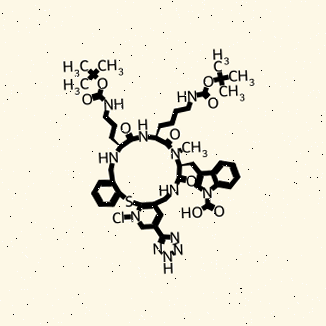 CN1C(=O)[C@H](CCCCNC(=O)OC(C)(C)C)NC(=O)[C@H](CCCNC(=O)OC(C)(C)C)NCc2ccccc2SC2=C(C=C(c3nn[nH]n3)CN2Cl)CNC(=O)[C@@H]1Cc1cn(C(=O)O)c2ccccc12